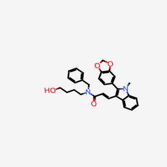 Cn1c(-c2ccc3c(c2)OCO3)c(/C=C/C(=O)N(CCCCO)Cc2ccccc2)c2ccccc21